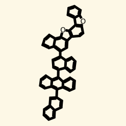 c1ccc2cc(-c3c4ccccc4c(-c4ccc(-c5cc6c7ccc8oc9ccccc9c8c7oc6c6ccccc56)c5ccccc45)c4ccccc34)ccc2c1